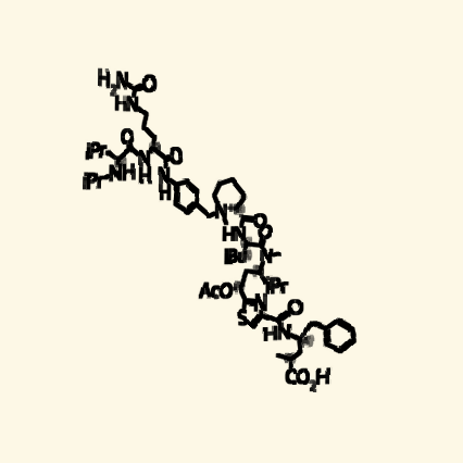 CC[C@H](C)[C@H](NC(=O)[C@H]1CCCC[N+]1(C)Cc1ccc(NC(=O)[C@H](CCCNC(N)=O)NC(=O)[C@@H](NC(C)C)C(C)C)cc1)C(=O)N(C)[C@H](C[C@@H](OC(C)=O)c1nc(C(=O)N[C@@H](Cc2ccccc2)C[C@H](C)C(=O)O)cs1)C(C)C